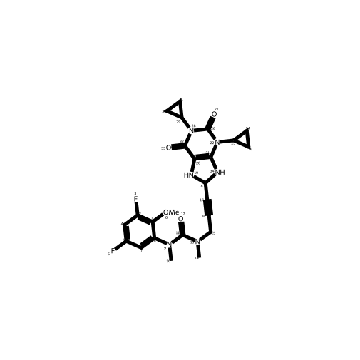 COc1c(F)cc(F)cc1N(C)C(=O)N(C)CC#CC1Nc2c(n(C3CC3)c(=O)n(C3CC3)c2=O)N1